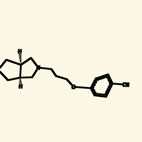 N#Cc1ccc(OCCCN2C[C@H]3CCC[C@H]3C2)cc1